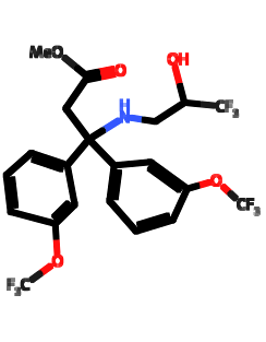 COC(=O)CC(NCC(O)C(F)(F)F)(c1cccc(OC(F)(F)F)c1)c1cccc(OC(F)(F)F)c1